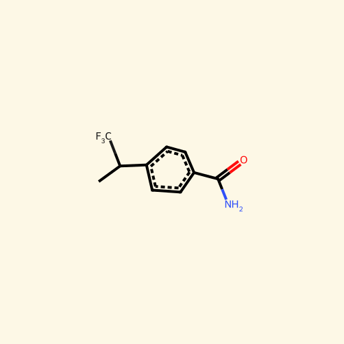 CC(c1ccc(C(N)=O)cc1)C(F)(F)F